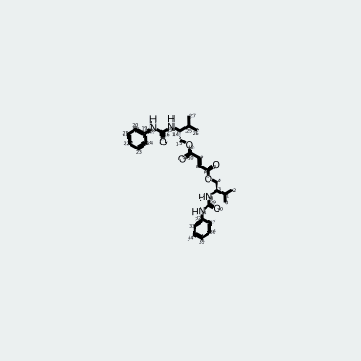 CC(C)[C@H](COC(=O)/C=C/C(=O)OC[C@H](NC(=O)Nc1ccccc1)C(C)C)NC(=O)Nc1ccccc1